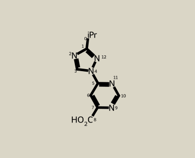 CC(C)c1ncn(-c2cc(C(=O)O)ncn2)n1